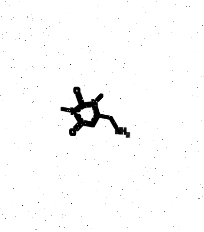 Cn1c(CN)cc(=O)n(C)c1=O